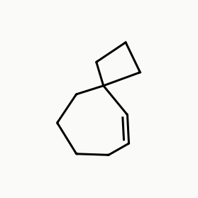 C1=CC2(CCCC1)CCC2